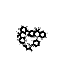 Cc1cc(C)n(-c2cccc(N3c4ccccc4C(C)(C)c4cc5c6cccc7c6n(c5cc43)-c3ncccc3C7(C)C)c2)n1